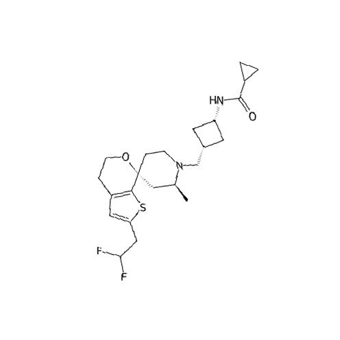 C[C@H]1C[C@@]2(CCN1C[C@H]1C[C@@H](NC(=O)C3CC3)C1)OCCc1cc(CC(F)F)sc12